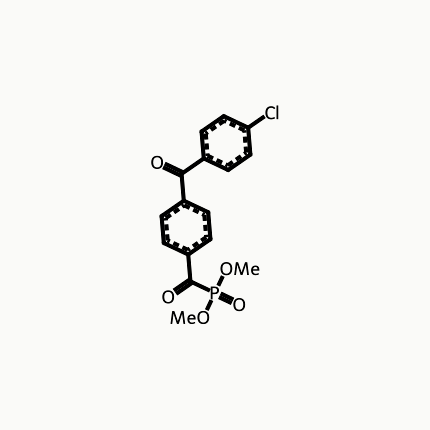 COP(=O)(OC)C(=O)c1ccc(C(=O)c2ccc(Cl)cc2)cc1